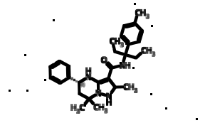 CCC(CC)(NC(=O)C1=C2N[C@@H](c3ccccc3)CC(C)(C)N2NC1C)c1ccc(C)cc1